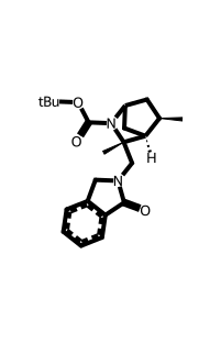 C[C@@H]1CC2C[C@@H]1[C@](C)(CN1Cc3ccccc3C1=O)N2C(=O)OC(C)(C)C